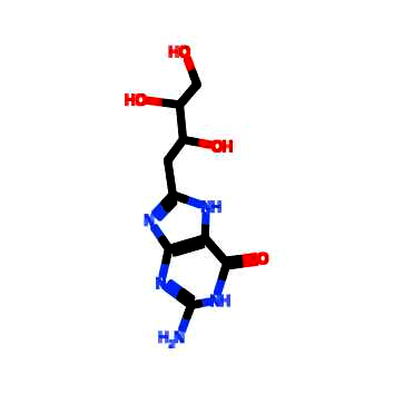 Nc1nc2nc(CC(O)C(O)CO)[nH]c2c(=O)[nH]1